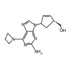 Nc1nc(N2CCC2)c2ncn(C3C=C[C@@H](CO)C3)c2n1